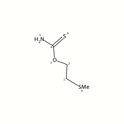 CSCCOC(N)=S